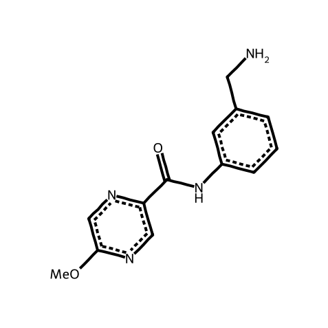 COc1cnc(C(=O)Nc2cccc(CN)c2)cn1